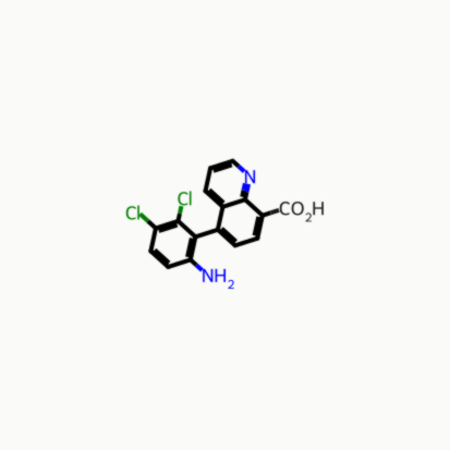 Nc1ccc(Cl)c(Cl)c1-c1ccc(C(=O)O)c2ncccc12